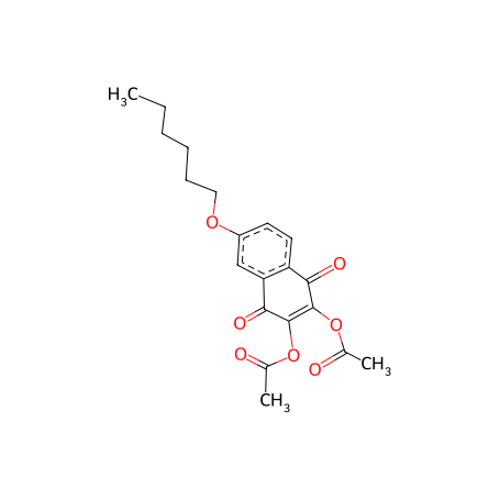 CCCCCCOc1ccc2c(c1)C(=O)C(OC(C)=O)=C(OC(C)=O)C2=O